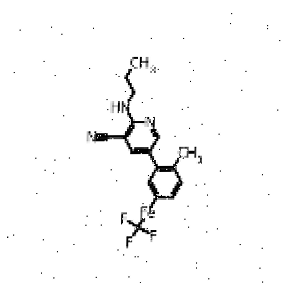 CCCNc1ncc(-c2c[c]([Fe][C](F)(F)F)ccc2C)cc1C#N